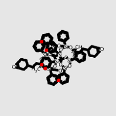 C[Si]1(CCC2CCC3OC3C2)O[Si]2(c3ccccc3)OC34O[Si](c5ccccc5)(O2)O[Si]2(c5ccccc5)O[Si](C)(CCC5CCC6OC6C5)O[Si]5(c6ccccc6)OC6(O[Si](c7ccccc7)(O5)O[Si](c5ccccc5)(O1)O[Si]63c1ccccc1)[Si]4(c1ccccc1)O2